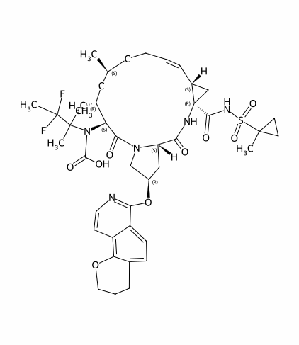 C[C@H]1CCC=C[C@@H]2C[C@@]2(C(=O)NS(=O)(=O)C2(C)CC2)NC(=O)[C@@H]2C[C@@H](Oc3nccc4c5c(ccc34)CCCO5)CN2C(=O)[C@@H](N(C(=O)O)C(C)(C)C(C)(F)F)[C@H](C)C1